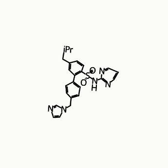 CC(C)Cc1ccc(S(=O)(=O)Nc2ncccn2)c(-c2ccc(Cn3ccnc3)cc2)c1